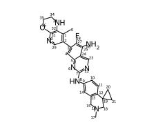 Cc1c(-c2cc3nc(Nc4ccc5c(c4)CN(C)CC54CC4)ncc3c(N)c2F)cnc2c1NCCO2